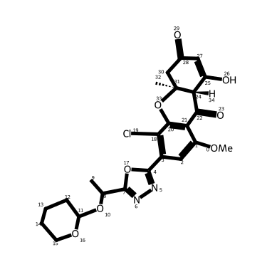 COc1cc(-c2nnc(C(C)OC3CCCCO3)o2)c(Cl)c2c1C(=O)[C@H]1C(O)=CC(=O)C[C@]1(C)O2